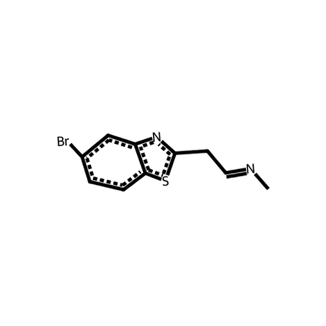 C/N=C/Cc1nc2cc(Br)ccc2s1